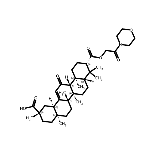 CC1(C)[C@@H](C(=O)OCC(=O)N2CCOCC2)CC[C@]2(C)[C@H]3C(=O)C=C4[C@@H]5C[C@@](C)(C(=O)O)CC[C@]5(C)CC[C@@]4(C)[C@]3(C)CC[C@@H]12